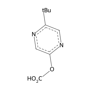 CC(C)(C)c1cnc(OC(=O)O)cn1